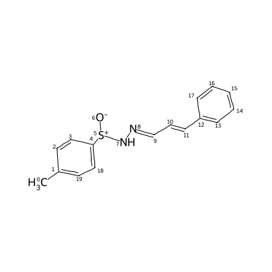 Cc1ccc([S+]([O-])N/N=C/C=C/c2ccccc2)cc1